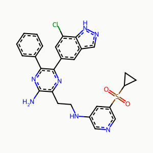 Nc1nc(-c2ccccc2)c(-c2cc(Cl)c3[nH]ncc3c2)nc1CCNc1cncc(S(=O)(=O)C2CC2)c1